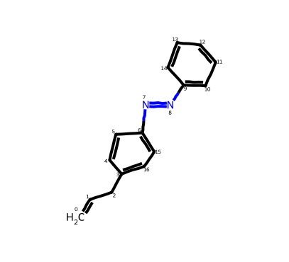 C=CCc1ccc(N=Nc2ccccc2)cc1